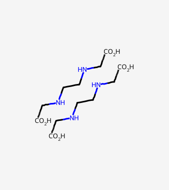 O=C(O)CNCCNCC(=O)O.O=C(O)CNCCNCC(=O)O